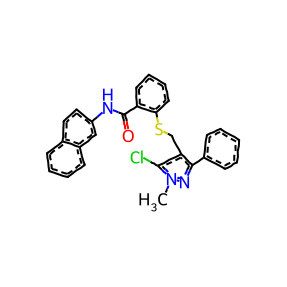 Cn1nc(-c2ccccc2)c(CSc2ccccc2C(=O)Nc2ccc3ccccc3c2)c1Cl